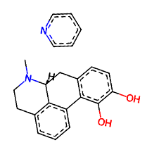 CN1CCc2cccc3c2[C@H]1Cc1ccc(O)c(O)c1-3.c1ccncc1